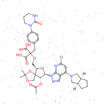 CC(=O)O[C@H]1[C@H](n2ncc3c(N4C[C@H]5CCC[C@H]5C4)cc(Cl)nc32)O[C@H](COC(Cc2ccc(N3CCCNC3=O)cc2)(C(=O)O)C(=O)O)C12COC(C)(C)O2